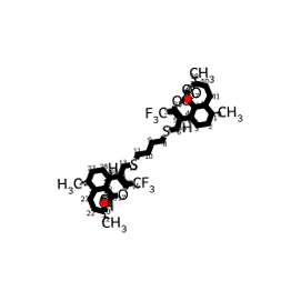 C[C@@H]1CC[C@H]2C(CSCCCCSCC3=C(C(F)(F)F)O[C@@H]4O[C@]5(C)CCC6[C@H](C)CC[C@@H]3[C@]64OO5)=C(C(F)(F)F)OC3O[C@]4(C)CCC1[C@]32OO4